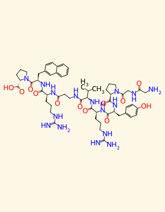 CC(C)[C@@H](NC(=O)[C@H](CCCNC(=N)N)NC(=O)[C@H](Cc1ccc(O)cc1)NC(=O)[C@H]1CCCN1C(=O)CNC(=O)CN)C(=O)NCCC(=O)N[C@@H](CCCNC(=N)N)C(=O)N[C@H](Cc1ccc2ccccc2c1)C(=O)N1CCC[C@H]1C(=O)O